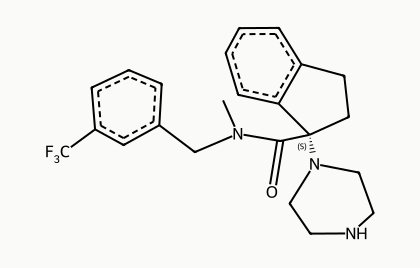 CN(Cc1cccc(C(F)(F)F)c1)C(=O)[C@]1(N2CCNCC2)CCc2ccccc21